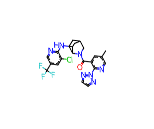 Cc1cnc(-n2nccn2)c(C(=O)N2CC3CCC2C(Nc2ncc(C(F)(F)F)cc2Cl)C3)c1